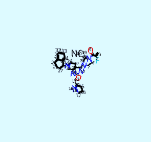 C=C(F)C(=O)N1CCN(c2nc(OC[C@@H]3CCCN3C)nc3c2CCN(c2cccc4ccccc24)C3)C[C@@H]1CC#N